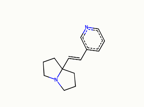 C(=CC12CCCN1CCC2)c1cccnc1